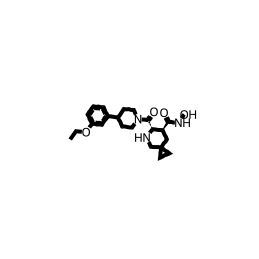 CCOc1cccc(C2CCN(C(=O)[C@H]3NCC4(CC4)C[C@@H]3C(=O)NO)CC2)c1